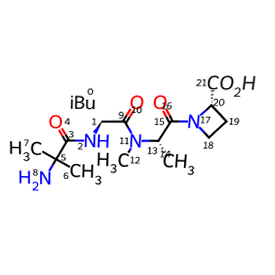 CC[C@H](C)[C@H](NC(=O)C(C)(C)N)C(=O)N(C)[C@@H](C)C(=O)N1CC[C@H]1C(=O)O